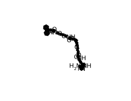 CC(C)(CCOC(=O)NCCOCCOCCNC(=O)OCC1c2ccccc2-c2ccccc21)SSCOCCCCOC(=O)NCC#Cc1c[nH]c2ncnc(N)c12